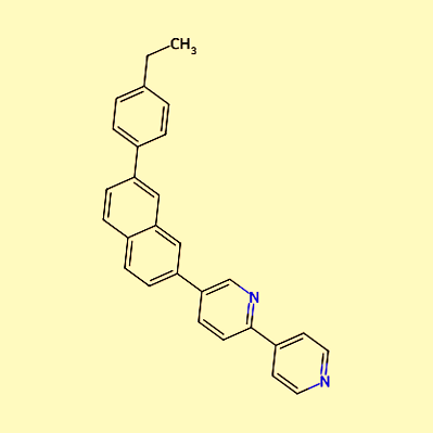 CCc1ccc(-c2ccc3ccc(-c4ccc(-c5ccncc5)nc4)cc3c2)cc1